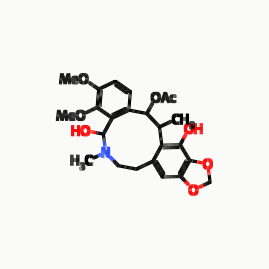 COc1ccc2c(c1OC)C(O)N(C)CCc1cc3c(c(O)c1C(C)C2OC(C)=O)OCO3